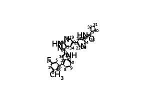 Cc1cc(F)cc(-c2cccc3[nH]c(-c4n[nH]c5ncc(-c6cncc(NC(=O)C7CCC7)c6)cc45)cc23)c1